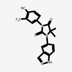 CC1(C)C(=O)N(c2ccc(C#N)c(C(F)(F)F)c2)C(=S)N1c1ccc2[nH]ncc2c1